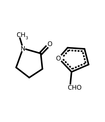 CN1CCCC1=O.O=Cc1ccco1